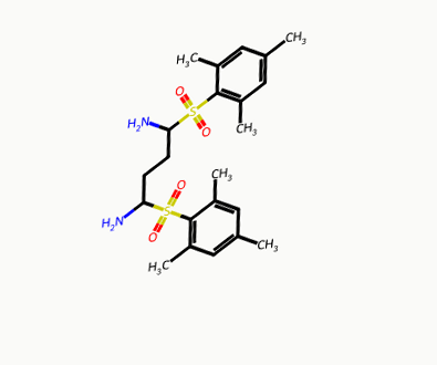 Cc1cc(C)c(S(=O)(=O)C(N)CCC(N)S(=O)(=O)c2c(C)cc(C)cc2C)c(C)c1